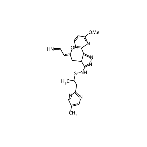 COc1cccc(C2=NN=C(NSC(C)Cc3ncc(C)cn3)C2C/C(O)=C/C=N)n1